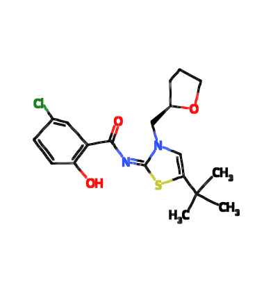 CC(C)(C)c1cn(C[C@H]2CCCO2)c(=NC(=O)c2cc(Cl)ccc2O)s1